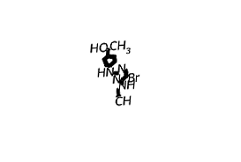 C#CCNc1nc(Nc2ccc(C(C)O)cc2)ncc1Br